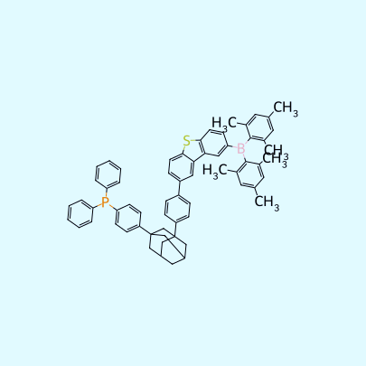 Cc1cc(C)c(B(c2ccc3sc4ccc(-c5ccc(C67CC8CC(C6)CC(c6ccc(P(c9ccccc9)c9ccccc9)cc6)(C8)C7)cc5)cc4c3c2)c2c(C)cc(C)cc2C)c(C)c1